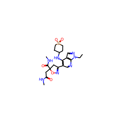 CCn1ncc2c(NC3CCS(=O)(=O)CC3)c(C3=NOC(CC(=O)NC)(C(=O)NC)C3)cnc21